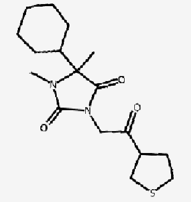 CN1C(=O)N(CC(=O)C2CCSC2)C(=O)C1(C)C1CCCCC1